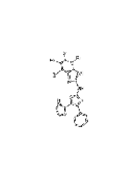 Brc1c(Br)c(Br)c2[nH]c(Nc3nc(-c4ccccc4)c(-c4ncc[nH]4)s3)nc2c1Br